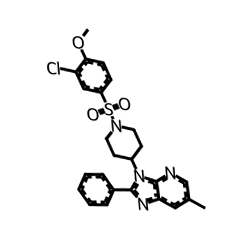 COc1ccc(S(=O)(=O)N2CCC(n3c(-c4ccccc4)nc4cc(C)cnc43)CC2)cc1Cl